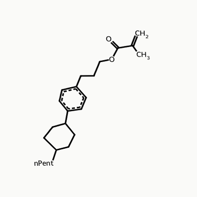 C=C(C)C(=O)OCCCc1ccc(C2CCC(CCCCC)CC2)cc1